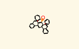 O=P(c1ccccc1)(c1ccccc1)c1c2ccc3ccccc3c2cc2c1ccc1ccccc12